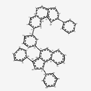 c1ccc(-c2ccc3ccc4ccc(-c5cccc(-c6cc7ccccc7c7c6c(-c6ccccc6)nn7-c6ccccc6)c5)nc4c3n2)cc1